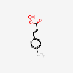 Cc1ccc(C=CC(=O)OO)cc1